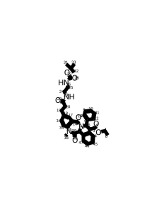 CCOC(=O)CC(c1ccccc1)N1C(=O)c2cc(CCC(=O)NCCNC(=O)OC(C)(C)C)ccc2N(C)C(=O)C1c1ccccc1